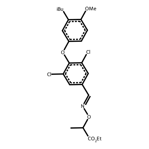 CCOC(=O)C(C)ON=Cc1cc(Cl)c(Oc2ccc(OC)c(C(C)CC)c2)c(Cl)c1